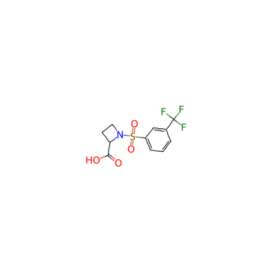 O=C(O)C1CCN1S(=O)(=O)c1cccc(C(F)(F)F)c1